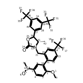 COc1ccc([S+](C)[O-])cc1-c1ccc(C(F)(F)F)cc1CN1C(=O)OC(c2cc(C(F)(F)F)cc(C(F)(F)F)c2)[C@@H]1C